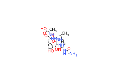 CC(C)C[C@H](NC(=O)[C@H](CO)NC(=O)CNC(=O)CN)C(=O)N[C@@H](Cc1ccc(O)cc1)C(=O)N[C@@H](C)C(=O)O